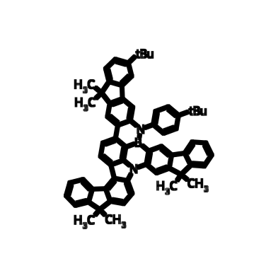 CC(C)(C)c1ccc(N2B3c4cc5c(cc4-n4c6ccc7c(c6c6ccc(c3c64)-c3cc4c(cc32)-c2cc(C(C)(C)C)ccc2C4(C)C)-c2ccccc2C7(C)C)C(C)(C)c2ccccc2-5)cc1